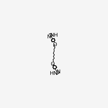 c1cc(C2=NCCN2)ccc1OCCCCCCCCCCOc1ccc(C2=NCCN2)cc1